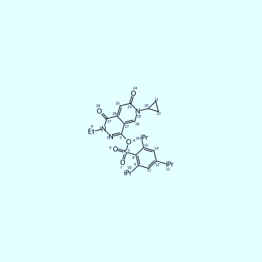 CCn1nc(OS(=O)(=O)c2c(C(C)C)cc(C(C)C)cc2C(C)C)c2cn(C3CC3)c(=O)cc2c1=O